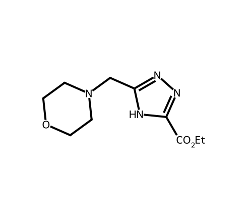 CCOC(=O)c1nnc(CN2CCOCC2)[nH]1